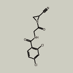 N#CC1CN1C(=O)CNC(=O)c1ccc(Cl)cc1Cl